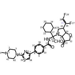 CN1CCN(c2nc(-c3ccc(C(=O)NC(C=O)(C4CCCCC4)N4CC(/C(F)=C/F)C5OCC(=O)C54)cc3)cs2)CC1